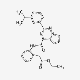 CCOC(=O)Cc1ccccc1NC(=O)c1nc(-c2cccc(C(C)C)c2)nn2cccc12